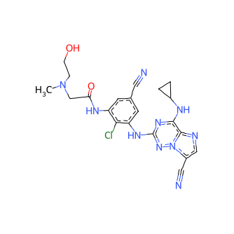 CN(CCO)CC(=O)Nc1cc(C#N)cc(Nc2nc(NC3CC3)c3ncc(C#N)n3n2)c1Cl